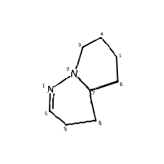 C1=NN2CCCCC2CC1